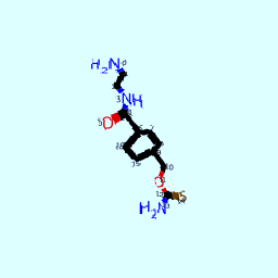 NCCNC(=O)c1ccc(COC(N)=S)cc1